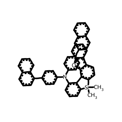 C[Si]1(C)c2cccc(N(c3ccc(-c4ccc5ccccc5c4)cc3)c3ccc(-c4cccc5ccccc45)cc3)c2-c2c1ccc1c2oc2ccccc21